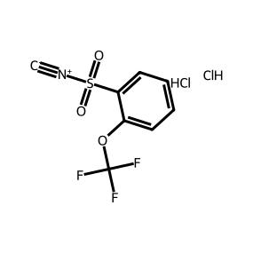 Cl.Cl.[C-]#[N+]S(=O)(=O)c1ccccc1OC(F)(F)F